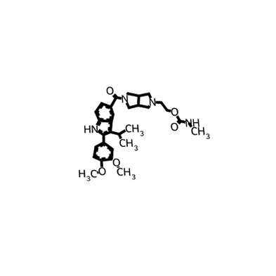 CNC(=O)OCCN1CC2CN(C(=O)c3ccc4[nH]c(-c5ccc(OC)c(OC)c5)c(C(C)C)c4c3)CC2C1